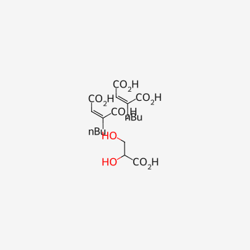 CCCCC(=CC(=O)O)C(=O)O.CCCCC(=CC(=O)O)C(=O)O.O=C(O)C(O)CO